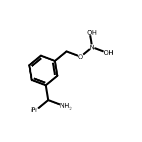 CC(C)C(N)c1cccc(CON(O)O)c1